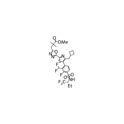 CC[C@@H](NS(=O)(=O)c1ccc(-c2sc(-c3nnc(CC(C)(C)C(=O)OC)o3)nc2CC2CCC2)c(C(F)F)c1F)C(F)(F)F